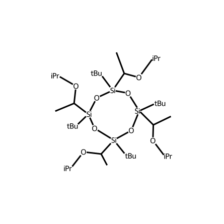 CC(C)OC(C)[Si]1(C(C)(C)C)O[Si](C(C)OC(C)C)(C(C)(C)C)O[Si](C(C)OC(C)C)(C(C)(C)C)O[Si](C(C)OC(C)C)(C(C)(C)C)O1